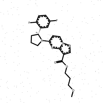 COCCCOC(=O)c1cnn2ccc(N3CCC[C@@H]3c3cc(F)ccc3F)nc12